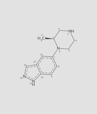 C[C@H]1CNCCN1c1ccc2[nH]ncc2c1